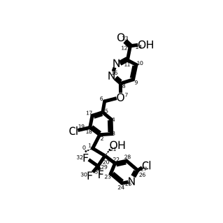 C[C@H](c1ccc(COc2ccc(C(=O)O)nn2)cc1Cl)[C@@](O)(c1ccnc(Cl)c1)C(F)(F)F